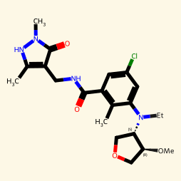 CCN(c1cc(Cl)cc(C(=O)NCc2c(C)[nH]n(C)c2=O)c1C)[C@H]1COC[C@@H]1OC